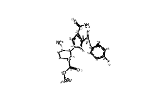 CC(C)(C)OC(=O)N1CC[C@H](C#N)C(n2cc(C(N)=O)c(Nc3ccc(F)cc3)n2)C1